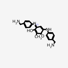 CC1=C(O)/C(=N\c2ccc(CN)cc2)C=C(Nc2ccc(CN)cc2)C1=O